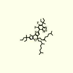 CCCC(C)(CC)c1cc2c(s1)-c1sc(-c3c(F)c(F)c(C(C)(CC)CC)c4nsnc34)cc1C(CCC(C)CCCC(C)C)(CC[C@H](C)CCCC(C)C)O2